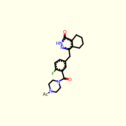 CC(=O)N1CCN(C(=O)c2cc(Cc3n[nH]c(=O)c4c3CCCC4)ccc2F)CC1